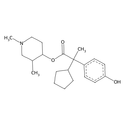 CC1CN(C)CCC1OC(=O)C(C)(c1ccc(O)cc1)C1CCCC1